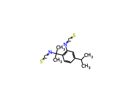 CC(C)c1ccc(C(C)(C)N=C=S)c(N=C=S)c1